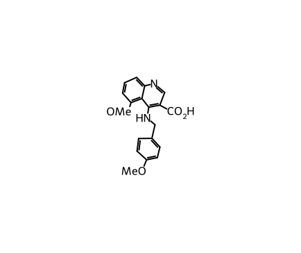 COc1ccc(CNc2c(C(=O)O)cnc3cccc(OC)c23)cc1